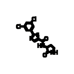 O=C(NC1CCNC1=O)c1cnc(-c2cc(Cl)cc(Cl)c2)s1